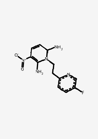 NC1=C([N+](=O)[O-])C=CC(N)N1CCc1ccc(F)cn1